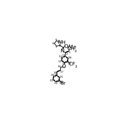 C/C=C(\N=C(/OC)C1CCCN1)c1ccc(OC/C=C/c2cccc(Br)c2)c(C(F)(F)F)c1